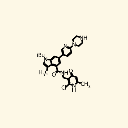 CC[C@H](C)n1cc(C)c2c(C(=O)NCc3c(Cl)[nH]c(C)cc3=O)cc(-c3ccc(N4CCNCC4)nc3)cc21